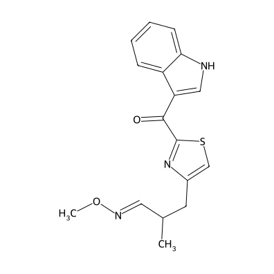 CON=CC(C)Cc1csc(C(=O)c2c[nH]c3ccccc23)n1